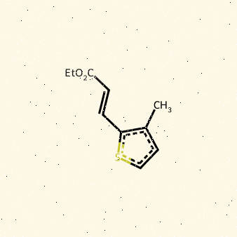 CCOC(=O)/C=C/c1sccc1C